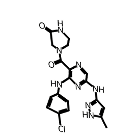 Cc1cc(Nc2cnc(C(=O)N3CCNC(=O)C3)c(Nc3ccc(Cl)cc3)n2)n[nH]1